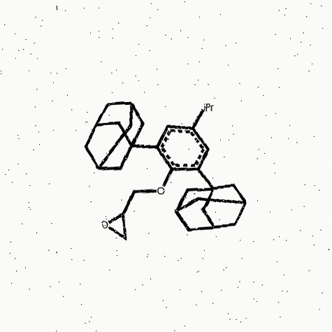 CC(C)c1cc(C23CC4CC(CC(C4)C2)C3)c(OCC2CO2)c(C23CC4CC(CC(C4)C2)C3)c1